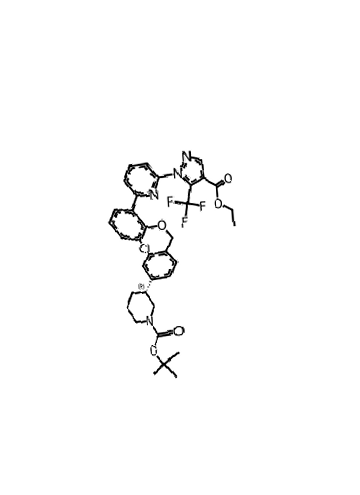 CCOC(=O)c1cnn(-c2cccc(-c3cccc(Cl)c3OCc3ccc([C@H]4CCCN(C(=O)OC(C)(C)C)C4)cc3)n2)c1C(F)(F)F